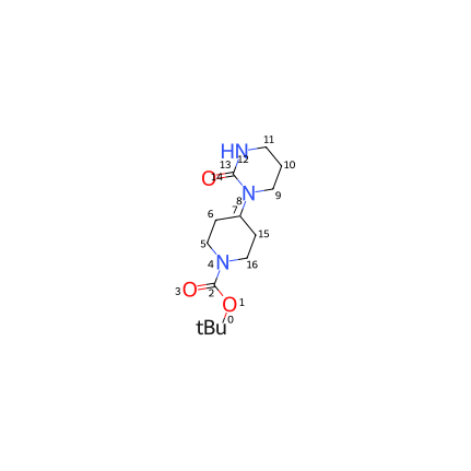 CC(C)(C)OC(=O)N1CCC(N2CCCNC2=O)CC1